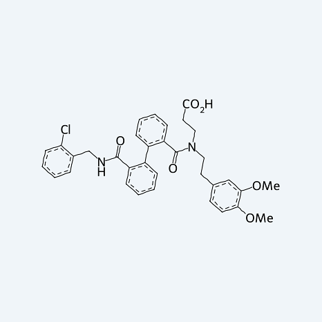 COc1ccc(CCN(CCC(=O)O)C(=O)c2ccccc2-c2ccccc2C(=O)NCc2ccccc2Cl)cc1OC